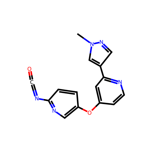 Cn1cc(-c2cc(Oc3ccc(N=C=O)nc3)ccn2)cn1